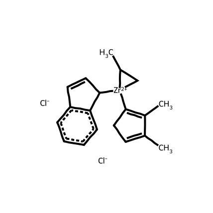 CC1=CC[C]([Zr+2]2([CH]3C=Cc4ccccc43)[CH2][CH]2C)=C1C.[Cl-].[Cl-]